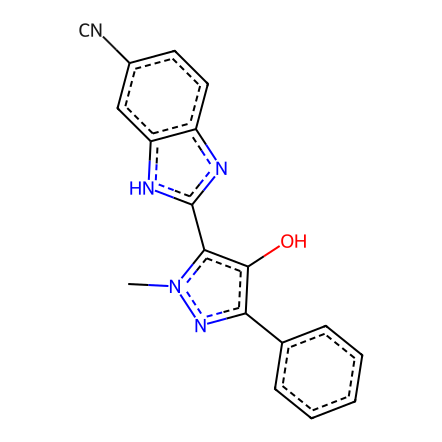 [C-]#[N+]c1ccc2nc(-c3c(O)c(-c4ccccc4)nn3C)[nH]c2c1